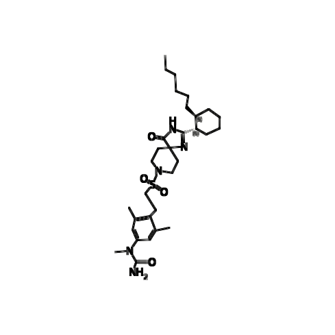 CCCCCC[C@H]1CCCC[C@@H]1C1=NC2(CCN(S(=O)(=O)CCc3c(C)cc(N(C)C(N)=O)cc3C)CC2)C(=O)N1